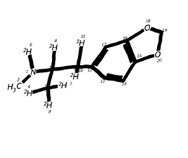 [2H]N(C)C([2H])(C([2H])([2H])[2H])C([2H])([2H])c1ccc2c(c1)OCO2